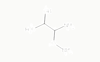 CC(O)C(N)ON